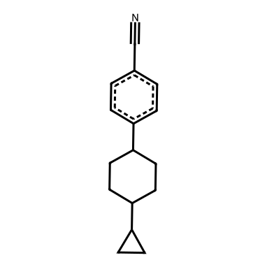 N#Cc1ccc(C2CCC(C3CC3)CC2)cc1